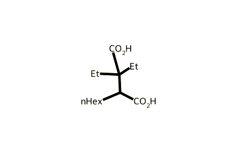 CCCCCCC(C(=O)O)C(CC)(CC)C(=O)O